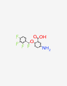 Nc1ccc(OC(F)c2ccc(F)c(F)c2F)c(C(=O)O)c1